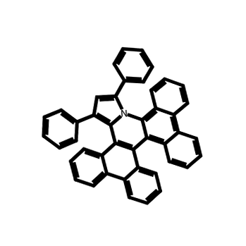 c1ccc(-c2cc(-c3ccccc3)n3c2c2c4ccccc4c4ccccc4c2c2c4ccccc4c4ccccc4c23)cc1